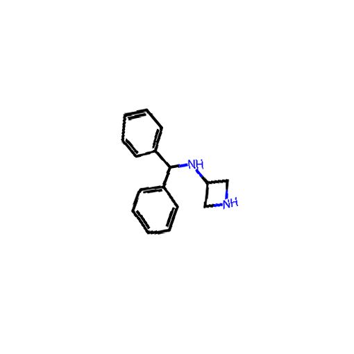 c1ccc(C(NC2CNC2)c2ccccc2)cc1